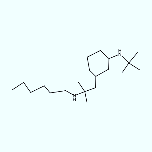 CCCCCCNC(C)(C)CC1CCCC(NC(C)(C)C)C1